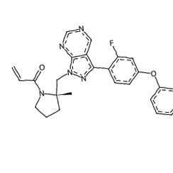 C=CC(=O)N1CCC[C@@]1(C)Cn1nc(-c2ccc(Oc3ccccc3)cc2F)c2cncnc21